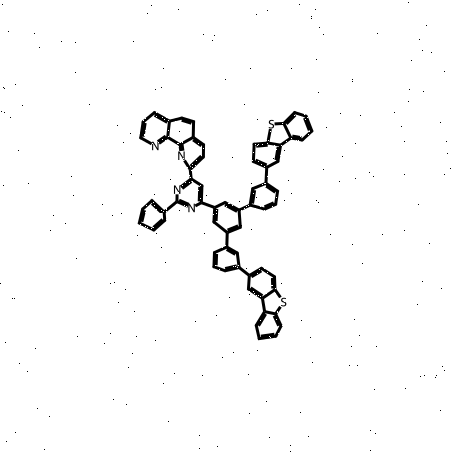 c1ccc(-c2nc(-c3cc(-c4cccc(-c5ccc6sc7ccccc7c6c5)c4)cc(-c4cccc(-c5ccc6sc7ccccc7c6c5)c4)c3)cc(-c3ccc4ccc5cccnc5c4n3)n2)cc1